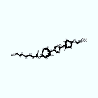 CCCCCCCCCCCOc1ccc(-c2ncc(-c3ccc(OC(=O)CCCCCCC(C)CC)cc3)cn2)cc1